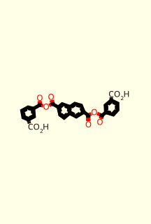 O=C(O)c1cccc(C(=O)OC(=O)c2ccc3cc(C(=O)OC(=O)c4cccc(C(=O)O)c4)ccc3c2)c1